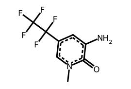 Cn1cc(C(F)(F)C(F)(F)F)cc(N)c1=O